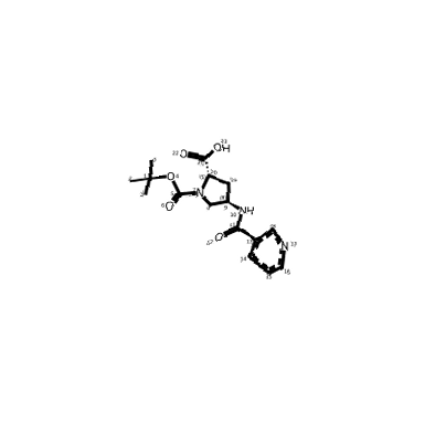 CC(C)(C)OC(=O)N1C[C@H](NC(=O)c2cccnc2)C[C@H]1C(=O)O